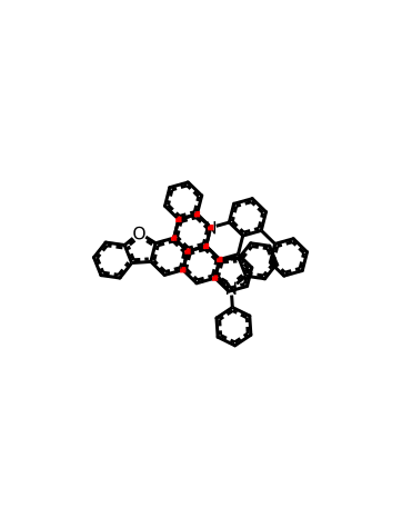 c1ccc(-c2ccccc2-c2c(-c3ccccc3)cccc2N(c2ccccc2-c2cccc3c2oc2ccccc23)c2cccc3c2c2ccccc2n3-c2ccccc2)cc1